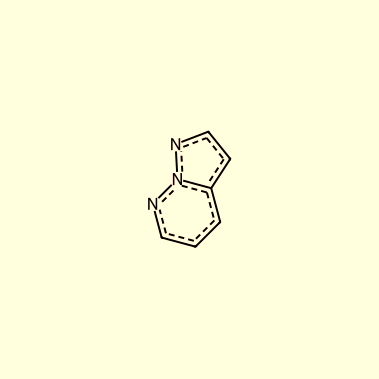 c1cnn2nccc2c1